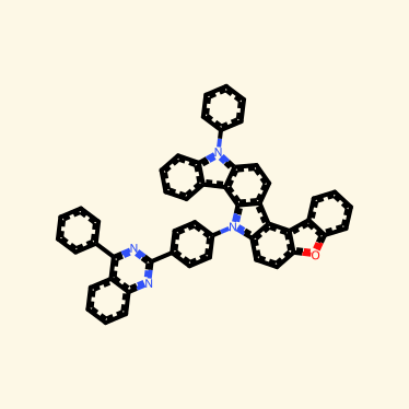 c1ccc(-c2nc(-c3ccc(-n4c5ccc6oc7ccccc7c6c5c5ccc6c(c7ccccc7n6-c6ccccc6)c54)cc3)nc3ccccc23)cc1